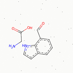 NCC(=O)O.O=Cc1cccc2cc[nH]c12